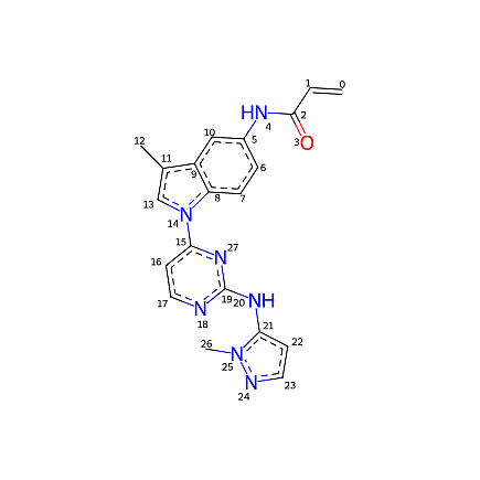 C=CC(=O)Nc1ccc2c(c1)c(C)cn2-c1ccnc(Nc2ccnn2C)n1